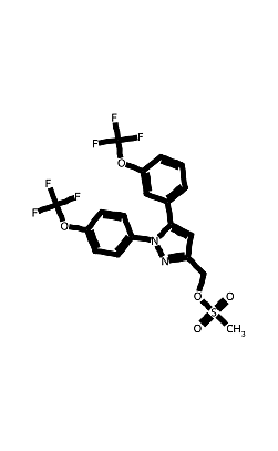 CS(=O)(=O)OCc1cc(-c2cccc(OC(F)(F)F)c2)n(-c2ccc(OC(F)(F)F)cc2)n1